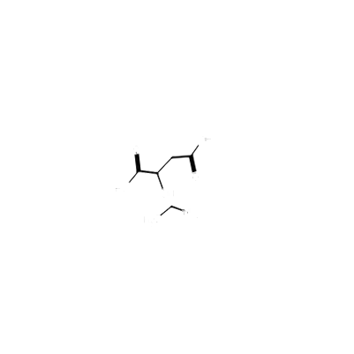 CCN.O=C(O)CC(O)C(=O)O